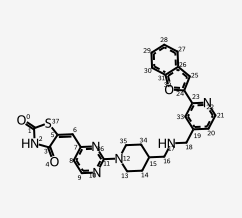 O=C1NC(=O)/C(=C\c2ccnc(N3CCC(CNCc4ccnc(-c5cc6ccccc6o5)c4)CC3)n2)S1